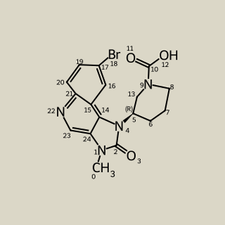 Cn1c(=O)n([C@@H]2CCCN(C(=O)O)C2)c2c3cc(Br)ccc3ncc21